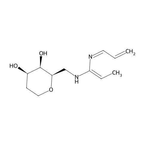 C=C/C=N\C(=C/C)NC[C@H]1OCC[C@@H](O)[C@H]1O